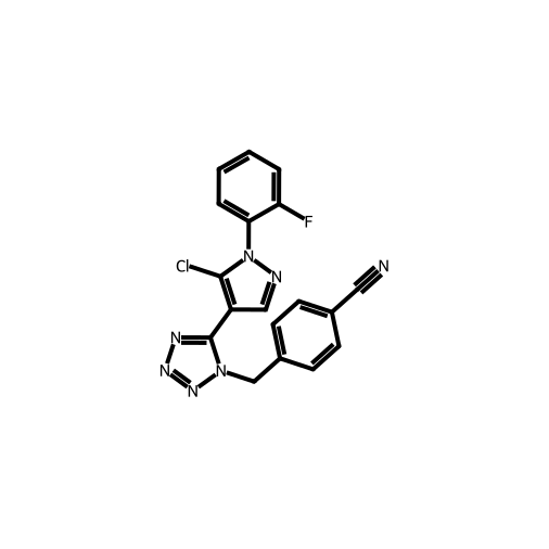 N#Cc1ccc(Cn2nnnc2-c2cnn(-c3ccccc3F)c2Cl)cc1